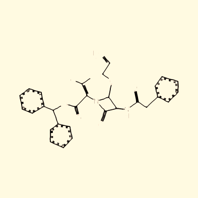 C=CCOC1C(NC(=O)Cc2ccccc2)C(=O)N1C(C(=O)OC(c1ccccc1)c1ccccc1)=C(C)C